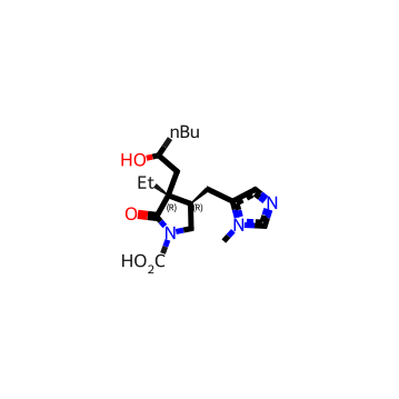 CCCCC(O)C[C@@]1(CC)C(=O)N(C(=O)O)C[C@@H]1Cc1cncn1C